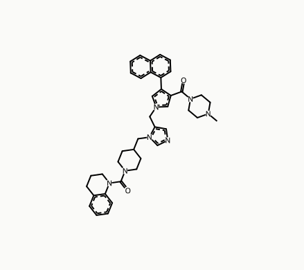 CN1CCN(C(=O)c2cn(Cc3cncn3CC3CCN(C(=O)N4CCCc5ccccc54)CC3)cc2-c2cccc3ccccc23)CC1